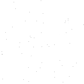 CCCCC[C@H]1CC[C@H](C=CCCc2ccc(I)cc2)CC1